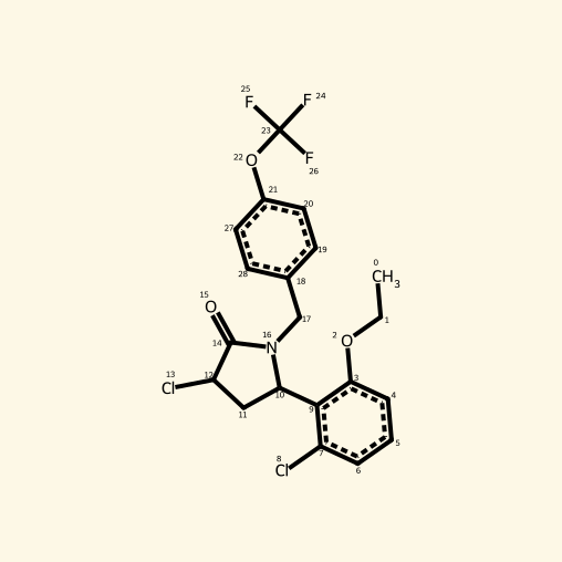 CCOc1cccc(Cl)c1C1CC(Cl)C(=O)N1Cc1ccc(OC(F)(F)F)cc1